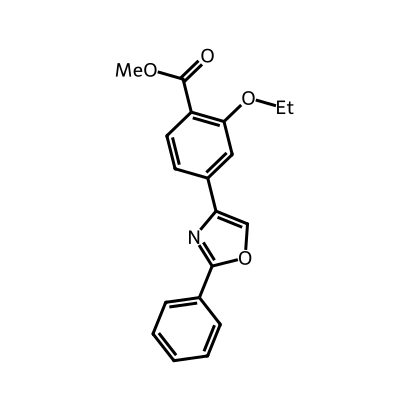 CCOc1cc(-c2coc(-c3ccccc3)n2)ccc1C(=O)OC